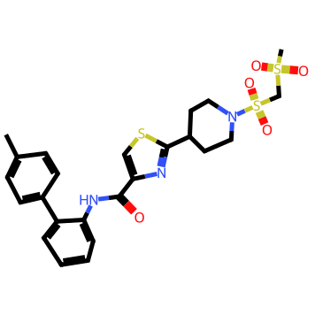 Cc1ccc(-c2ccccc2NC(=O)c2csc(C3CCN(S(=O)(=O)CS(C)(=O)=O)CC3)n2)cc1